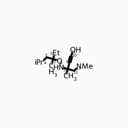 CCC(C)(CC(C)C)ONC(C)(C#CO)CNC